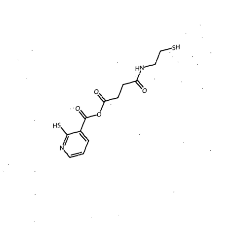 O=C(CCC(=O)OC(=O)c1cccnc1S)NCCS